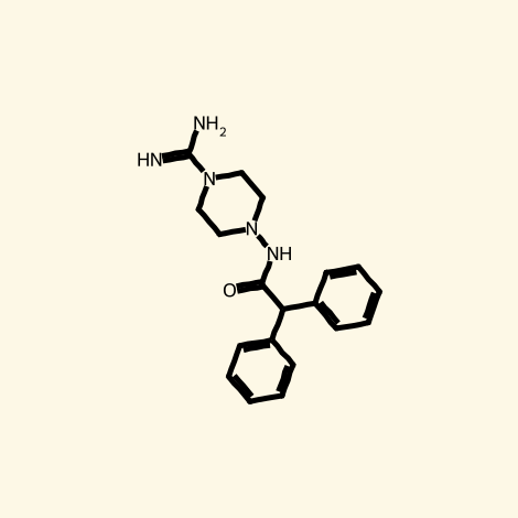 N=C(N)N1CCN(NC(=O)C(c2ccccc2)c2ccccc2)CC1